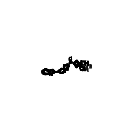 C[C@]1(O)C[C@@H](C(=O)N2CC3(CCC(c4cc5ccccn5n4)C3)C2)C1